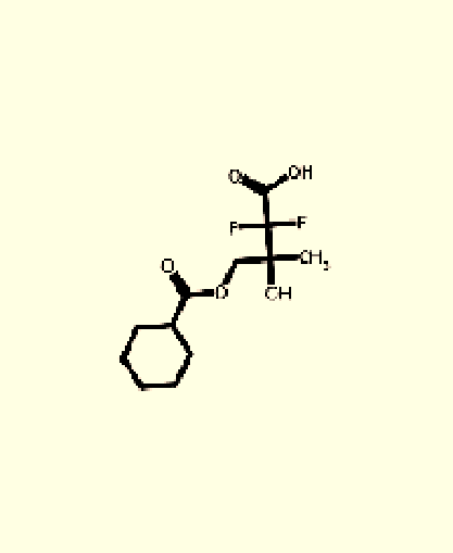 CC(O)(COC(=O)C1CCCCC1)C(F)(F)C(=O)O